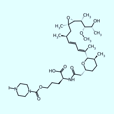 CO[C@H]([C@@H](C)[C@H]1O[C@]1(C)C[C@H](C)/C=C/C=C(\C)[C@H]1O[C@@H](CC(=O)N[C@@H](CCCOC(=O)N2CCN(I)CC2)C(=O)O)CC[C@@H]1C)[C@@H](C)O